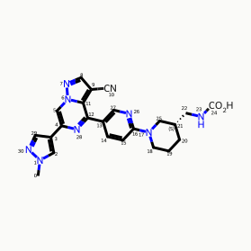 Cn1cc(-c2cn3ncc(C#N)c3c(-c3ccc(N4CCC[C@@H](CNC(=O)O)C4)nc3)n2)cn1